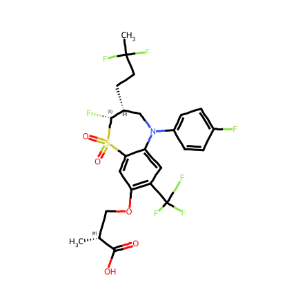 C[C@H](COc1cc2c(cc1C(F)(F)F)N(c1ccc(F)cc1)C[C@@H](CCC(C)(F)F)[C@@H](F)S2(=O)=O)C(=O)O